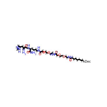 CCCCCCCCCCCCCCCCCC(=O)NCCOCCOCC(=O)NCCOCCOCC(=O)NCCCC[C@H](NCC(=O)[C@@H](N)Cc1cnc[nH]1)C(N)=O